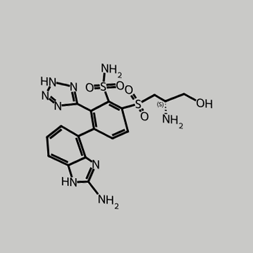 Nc1nc2c(-c3ccc(S(=O)(=O)C[C@@H](N)CO)c(S(N)(=O)=O)c3-c3nn[nH]n3)cccc2[nH]1